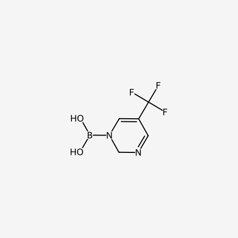 OB(O)N1C=C(C(F)(F)F)C=NC1